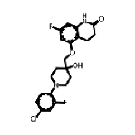 O=C1CCc2c(cc(F)cc2OCC2(O)CCN(c3ccc(Cl)cc3F)CC2)N1